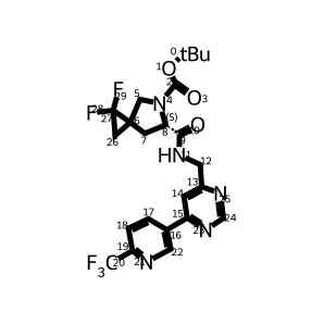 CC(C)(C)OC(=O)N1CC2(C[C@H]1C(=O)NCc1cc(-c3ccc(C(F)(F)F)nc3)ncn1)CC2(F)F